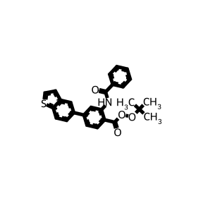 CC(C)(C)OOC(=O)c1ccc(-c2ccc3sccc3c2)cc1NC(=O)c1ccccc1